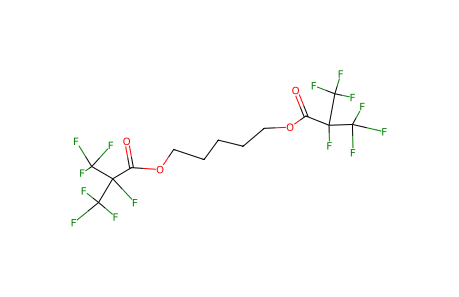 O=C(OCCCCCOC(=O)C(F)(C(F)(F)F)C(F)(F)F)C(F)(C(F)(F)F)C(F)(F)F